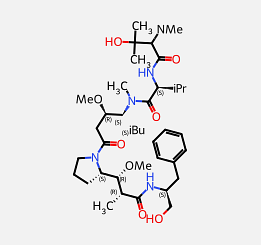 CC[C@H](C)[C@@H]([C@@H](CC(=O)N1CCC[C@H]1[C@H](OC)[C@@H](C)C(=O)N[C@H](CO)Cc1ccccc1)OC)N(C)C(=O)[C@@H](NC(=O)C(NC)C(C)(C)O)C(C)C